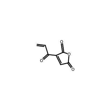 C=CC(=O)C1=CC(=O)OC1=O